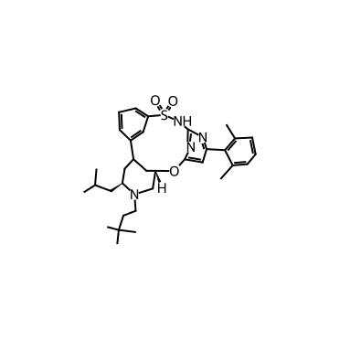 Cc1cccc(C)c1-c1cc2nc(n1)NS(=O)(=O)c1cccc(c1)C1C[C@@H](CN(CCC(C)(C)C)[C@@H](CC(C)C)C1)O2